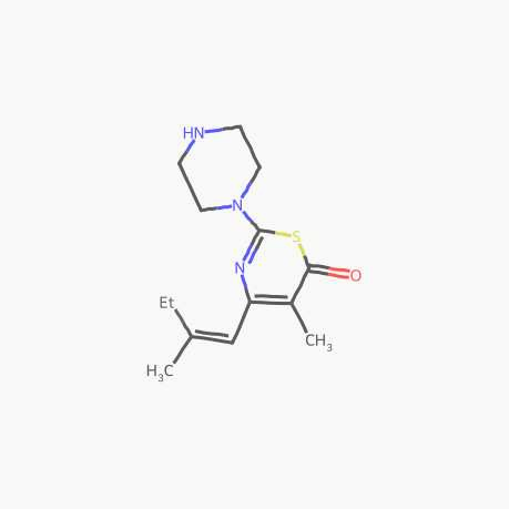 CC/C(C)=C\c1nc(N2CCNCC2)sc(=O)c1C